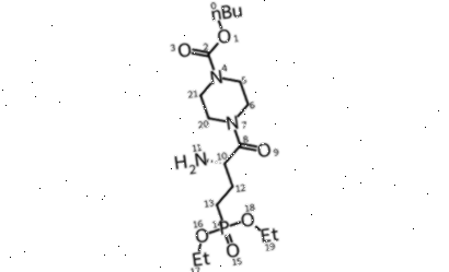 CCCCOC(=O)N1CCN(C(=O)[C@@H](N)CCP(=O)(OCC)OCC)CC1